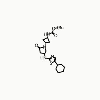 CC(C)(C)OC(=O)N[C@H]1C[C@H](N2CC(Nc3ncc(C4CCCCC4)s3)CC2=O)C1